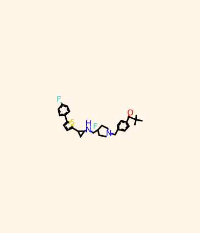 CC(C)(C)C(=O)c1ccc(CN2CCC(F)(CNC3CC3c3ccc(-c4ccc(F)cc4)s3)CC2)cc1